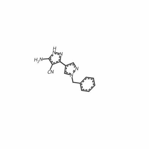 N#Cc1c(-c2cnn(Cc3ccccc3)c2)n[nH]c1N